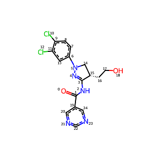 O=C(NC1=NN(c2ccc(Cl)c(Cl)c2)C[C@@H]1CCO)c1cncnc1